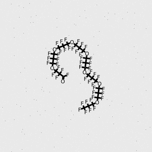 O=C(F)C(F)(F)C(F)(F)OC(F)(F)C(F)(F)C(F)(F)OC(F)(F)C(F)(F)C(F)(F)OC(F)(F)C(F)(F)C(F)(F)OC(F)(F)C(F)(F)C(F)(F)OC(F)(F)C(F)(F)C(F)(F)OC(F)(F)C(F)(F)C(F)(F)OC(F)(F)C(F)(F)C(F)(F)F